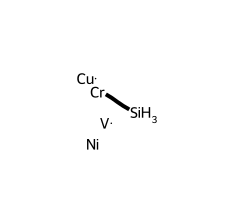 [Cu].[Ni].[SiH3][Cr].[V]